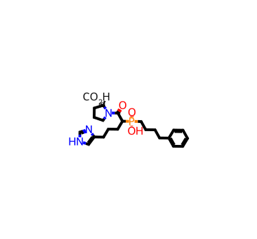 O=C(O)[C@@H]1CCCN1C(=O)C(CCCc1c[nH]cn1)P(=O)(O)CCCCc1ccccc1